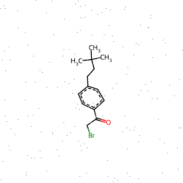 CC(C)(C)CCc1ccc(C(=O)CBr)cc1